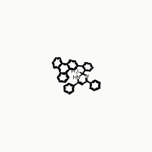 CC1(c2ccccc2-c2ccc3c4ccccc4c4ccccc4c3c2)N=C(c2ccccc2)C=C(c2ccccc2)N1